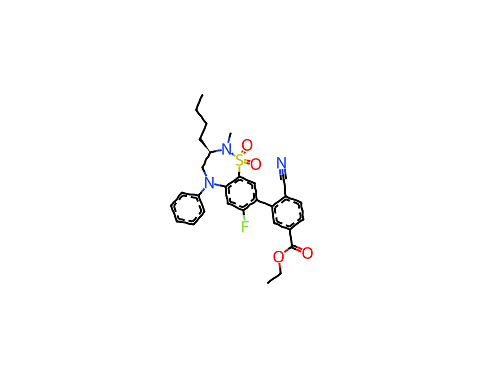 CCCC[C@@H]1CN(c2ccccc2)c2cc(F)c(-c3cc(C(=O)OCC)ccc3C#N)cc2S(=O)(=O)N1C